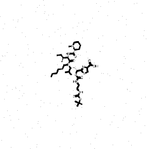 CCCCCCN(C(=O)[C@@H](NC(=O)[C@H]1CCCCN1C)[C@@H](C)CC)[C@H](C[C@@H](OC(=O)NCCNC(=O)OC(C)(C)C)c1nc(C(=O)O)cs1)C(C)C